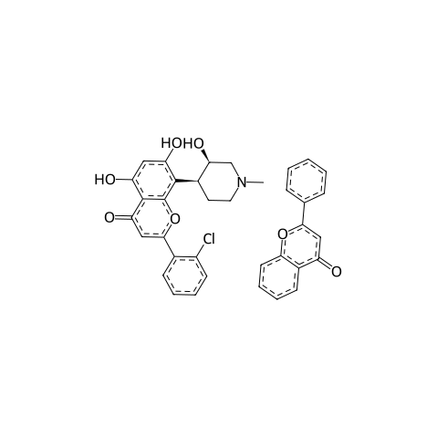 CN1CC[C@@H](c2c(O)cc(O)c3c(=O)cc(-c4ccccc4Cl)oc23)[C@@H](O)C1.O=c1cc(-c2ccccc2)oc2ccccc12